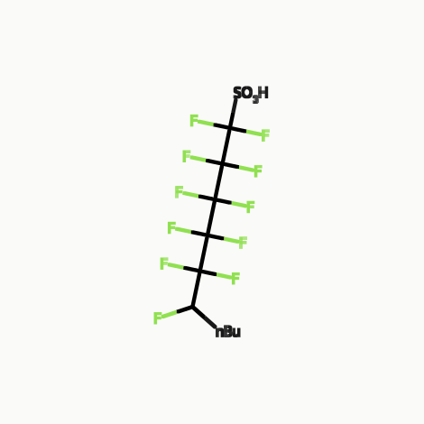 CCCCC(F)C(F)(F)C(F)(F)C(F)(F)C(F)(F)C(F)(F)S(=O)(=O)O